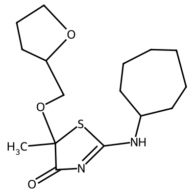 CC1(OCC2CCCO2)SC(NC2CCCCCC2)=NC1=O